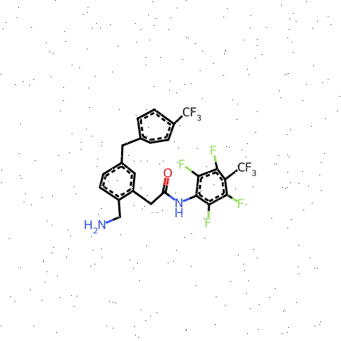 NCc1ccc(Cc2ccc(C(F)(F)F)cc2)cc1CC(=O)Nc1c(F)c(F)c(C(F)(F)F)c(F)c1F